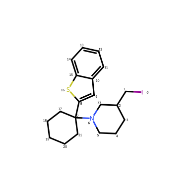 ICC1CCCN(C2(c3cc4ccccc4s3)CCCCC2)C1